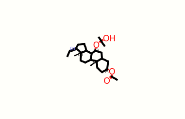 C/C=C1/CCC2C3C(CC[C@]12C)[C@@]1(C)CC[C@@H](OC(C)=O)CC1C[C@@H]3OC(C)(C)O